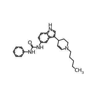 CCCCCN1C=CC(c2c[nH]c3ccc(NC(=O)Nc4ccccc4)cc23)CC1